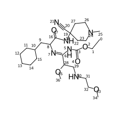 CCOC(=O)NC(=NC(CC1CCCCC1)C(=O)NC1(C#N)CCN(C)CC1)C(CNCCOC)OC